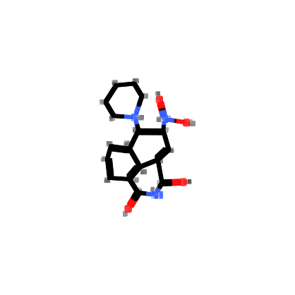 O=C1NC(=O)c2cc([N+](=O)[O-])c(N3CCCCC3)c3cccc1c23